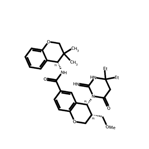 CCC1(CC)CC(=O)N([C@H]2c3cc(C(=O)N[C@@H]4c5ccccc5OCC4(C)C)ccc3OC[C@H]2COC)C(=N)N1